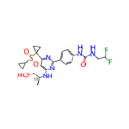 C[C@@H](CO)Nc1cc(C2(S(=O)(=O)C3CC3)CC2)nc(-c2ccc(NC(=O)NCC(F)F)cc2)n1